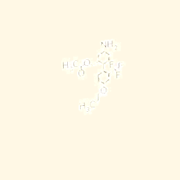 CCCOc1ccc(-c2ccc(N)cc2COC(C)=O)c(C(F)(F)F)c1